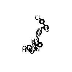 Cc1nc2cccc(NCCN3CCN(CC4=C(c5ccc(Cl)cc5)CCOC4)CC3)c2c(=O)n1C1CCC(=O)NC1=O